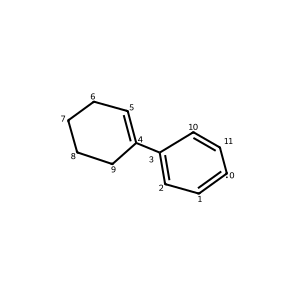 [c]1ccc(C2=CCCCC2)cc1